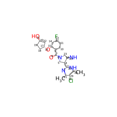 CC1=N/C(=C2\CN(C(=O)c3ccc(F)cc3O[C@@H]3CC[C@@H](O)C3)CC2=N)NC(C)=C1Cl